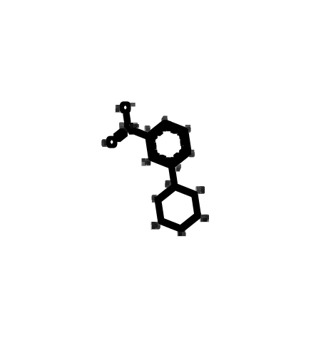 O=[N+]([O-])c1[c]ccc(C2CCCCC2)c1